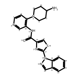 NC1CCN(c2ccncc2NC(=O)c2csc(-n3ncc4ccccc43)n2)CC1